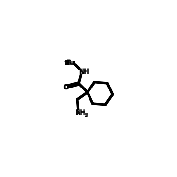 CC(C)(C)NC(=O)C1(CN)CCCCC1